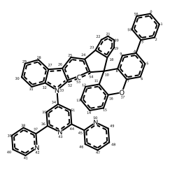 c1ccc(-c2ccc3c(c2)C2(c4ccccc4O3)c3ccccc3-c3cc4c5ccccc5n(-c5cc(-c6ccccn6)nc(-c6ccccn6)c5)c4cc32)cc1